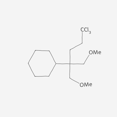 COCC(CCC(Cl)(Cl)Cl)(COC)C1CCCCC1